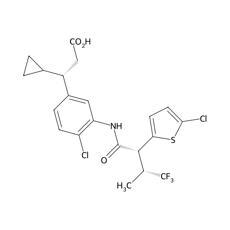 C[C@H]([C@H](C(=O)Nc1cc([C@@H](CC(=O)O)C2CC2)ccc1Cl)c1ccc(Cl)s1)C(F)(F)F